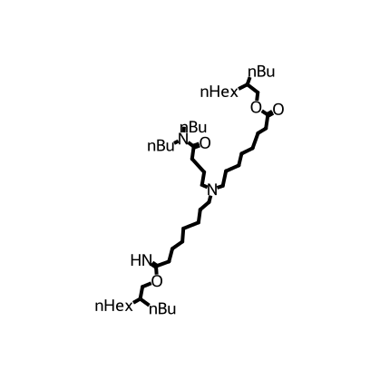 CCCCCCC(CCCC)COC(=N)CCCCCCCN(CCCCCCCC(=O)OCC(CCCC)CCCCCC)CCCC(=O)N(CCCC)CCCC